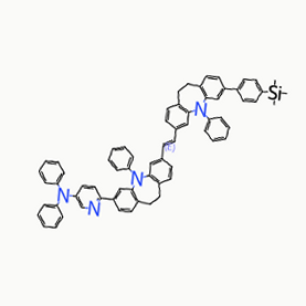 C[Si](C)(C)c1ccc(-c2ccc3c(c2)N(c2ccccc2)c2cc(/C=C/c4ccc5c(c4)N(c4ccccc4)c4cc(-c6ccc(N(c7ccccc7)c7ccccc7)cn6)ccc4CC5)ccc2CC3)cc1